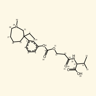 CCC1(c2cccc(OC(=O)OCCC(=O)NC(C(=O)O)C(C)C)c2)CCCCN(C)C1